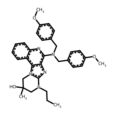 CCCN1CC(C)(O)Cn2c1nc1c(N(Cc3ccc(OC)cc3)Cc3ccc(OC)cc3)nc3ccccc3c12